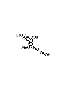 CCOC(=O)c1cn2c(cc1=O)-c1cc(OC)c(OCCOCCOCCO)cc1CC2C(C)(C)C